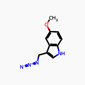 COc1ccc2[nH]cc(CN=[N+]=[N-])c2c1